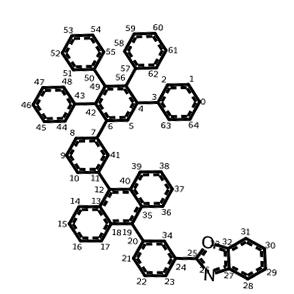 c1ccc(-c2cc(-c3cccc(-c4c5ccccc5c(-c5cccc(-c6nc7ccccc7o6)c5)c5ccccc45)c3)c(-c3ccccc3)c(-c3ccccc3)c2-c2ccccc2)cc1